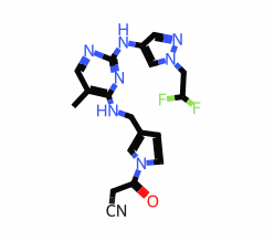 Cc1cnc(Nc2cnn(CC(F)F)c2)nc1NCc1ccn(C(=O)CC#N)c1